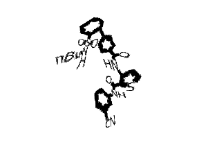 CCCCNS(=O)(=O)c1ccccc1-c1ccc(C(=O)Nc2ccsc2C(=O)Nc2cccc(C#N)c2)cc1